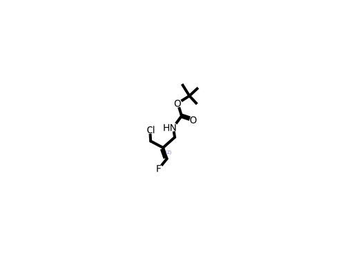 CC(C)(C)OC(=O)NC/C(=C/F)CCl